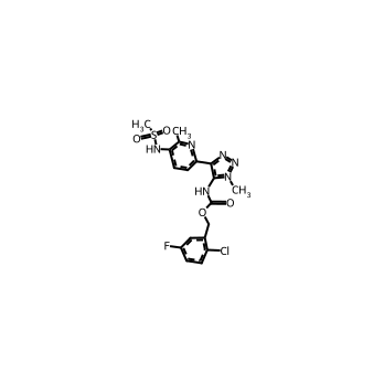 Cc1nc(-c2nnn(C)c2NC(=O)OCc2cc(F)ccc2Cl)ccc1NS(C)(=O)=O